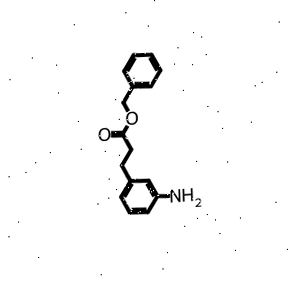 Nc1cccc(CCC(=O)OCc2ccccc2)c1